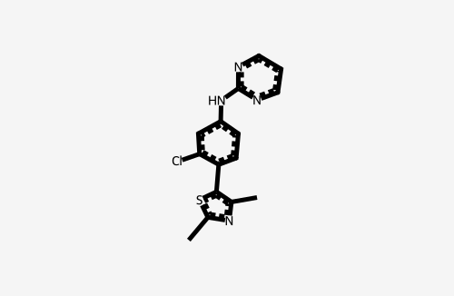 Cc1nc(C)c(-c2ccc(Nc3ncccn3)cc2Cl)s1